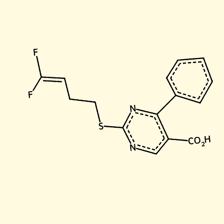 O=C(O)c1cnc(SCCC=C(F)F)nc1-c1ccccc1